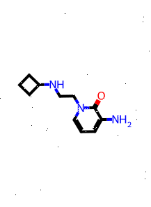 Nc1cccn(CCNC2CCC2)c1=O